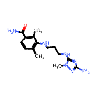 Cc1ccc(C(N)=O)c(C)c1NCCCNc1nc(N)nn1C